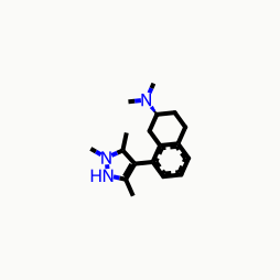 CC1=C(c2cccc3c2C[C@@H](N(C)C)CC3)C(C)N(C)N1